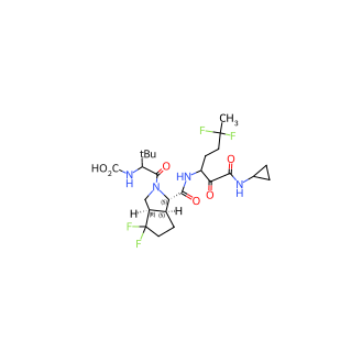 CC(F)(F)CCC(NC(=O)[C@@H]1[C@H]2CCC(F)(F)[C@H]2CN1C(=O)C(NC(=O)O)C(C)(C)C)C(=O)C(=O)NC1CC1